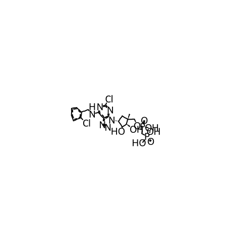 C[C@]1(COP(=O)(O)CP(=O)(O)O)C[C@@H](n2nnc3c(NCc4ccccc4Cl)nc(Cl)nc32)[C@H](O)[C@@H]1O